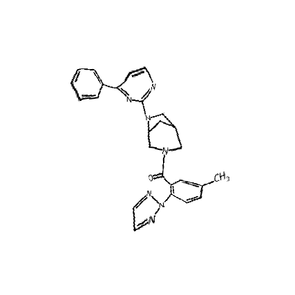 Cc1ccc(-n2nccn2)c(C(=O)N2CC3CC(C2)N(c2nccc(-c4ccccc4)n2)C3)c1